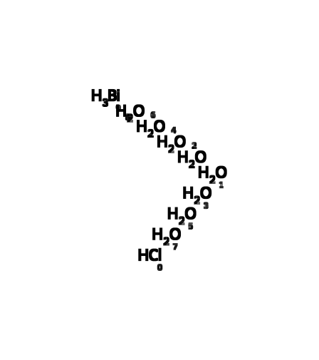 Cl.O.O.O.O.O.O.O.O.[BiH3]